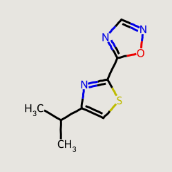 CC(C)c1csc(-c2ncno2)n1